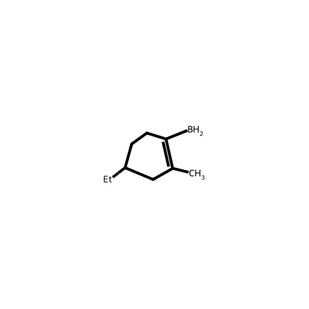 BC1=C(C)CC(CC)CC1